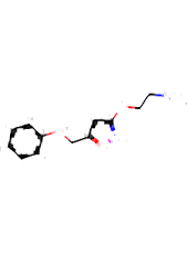 NCCOc1cc(COc2ccccc2)on1